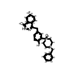 O=c1[nH]nc(Cc2ccc(F)c(P3(=O)CCN(Cc4ccccc4)CC3)c2)c2ccc(F)cc12